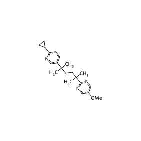 COc1cnc(C(C)(C)CCC(C)(C)c2ccc(C3CC3)nc2)nc1